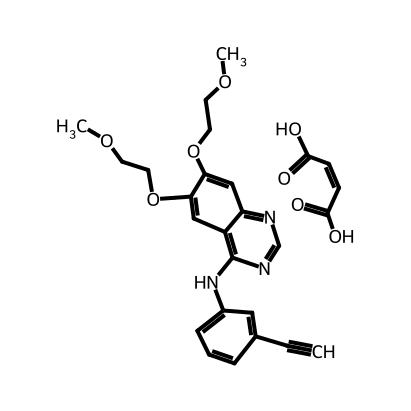 C#Cc1cccc(Nc2ncnc3cc(OCCOC)c(OCCOC)cc23)c1.O=C(O)/C=C\C(=O)O